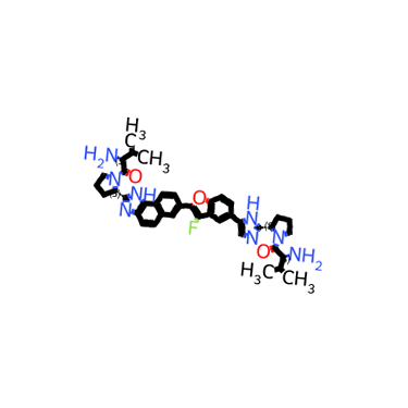 CC(C)[C@H](N)C(=O)N1CCC[C@H]1c1ncc(-c2ccc3oc(-c4ccc5c(ccc6nc([C@@H]7CCCN7C(=O)[C@@H](N)C(C)C)[nH]c65)c4)c(F)c3c2)[nH]1